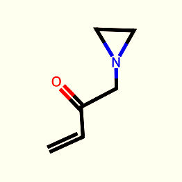 C=CC(=O)CN1CC1